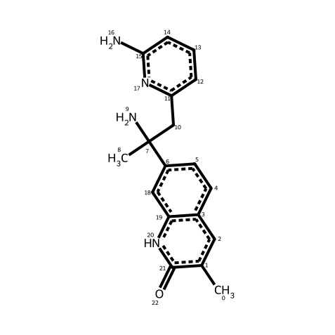 Cc1cc2ccc(C(C)(N)Cc3cccc(N)n3)cc2[nH]c1=O